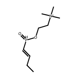 CCC=C[PH](=O)OCC[N+](C)(C)C